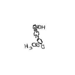 COc1cc(N2CCN(N3CC=CN3O)CC2)ccc1Cl